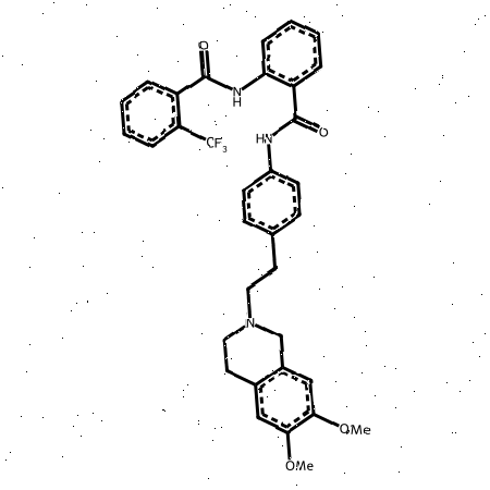 COc1cc2c(cc1OC)CN(CCc1ccc(NC(=O)c3ccccc3NC(=O)c3ccccc3C(F)(F)F)cc1)CC2